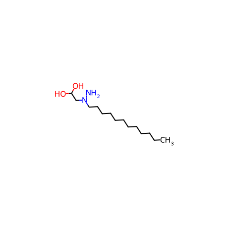 CCCCCCCCCCCCN(N)CC(O)O